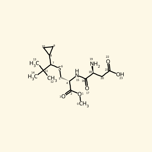 COC(=O)[C@H](CSC(C1CC1)C(C)(C)C)NC(=O)[C@@H](N)CC(=O)O